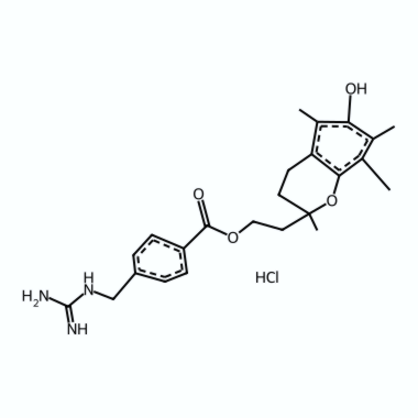 Cc1c(C)c2c(c(C)c1O)CCC(C)(CCOC(=O)c1ccc(CNC(=N)N)cc1)O2.Cl